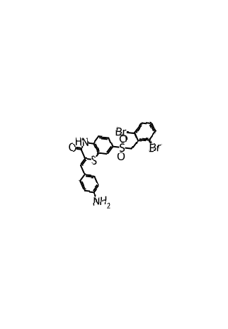 Nc1ccc(C=C2Sc3cc(S(=O)(=O)Cc4c(Br)cccc4Br)ccc3NC2=O)cc1